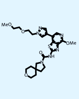 COCCOCCn1cc(-c2cnc(OC)c3nc(NC(=O)N4CCC5(CCOCC5)C4)sc23)cn1